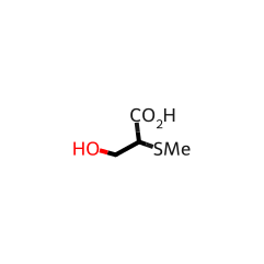 CSC(CO)C(=O)O